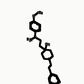 CCCCOc1ccc(N(C)CCC2(O)CCN(CCc3ccccc3)CC2)cc1